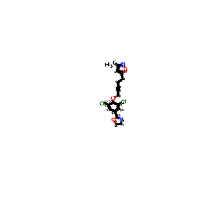 Cc1cc(CCC#CCOc2c(Cl)cc(C3=NCCO3)cc2Cl)on1